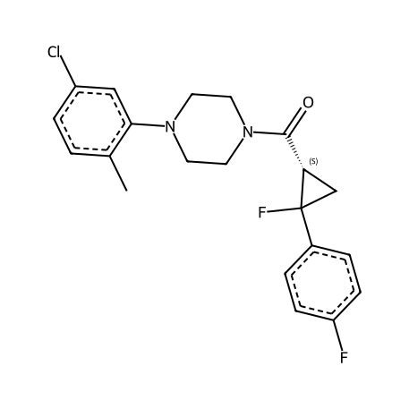 Cc1ccc(Cl)cc1N1CCN(C(=O)[C@@H]2CC2(F)c2ccc(F)cc2)CC1